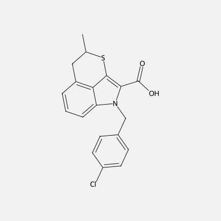 CC1Cc2cccc3c2c(c(C(=O)O)n3Cc2ccc(Cl)cc2)S1